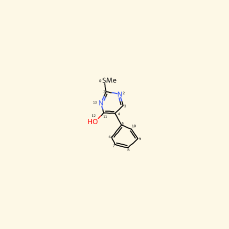 CSc1ncc(-c2ccccc2)c(O)n1